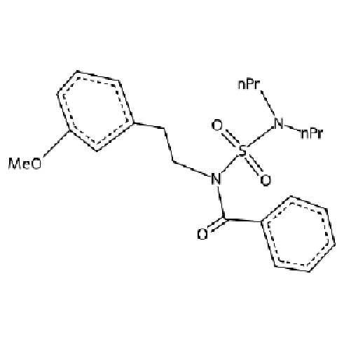 CCCN(CCC)S(=O)(=O)N(CCc1cccc(OC)c1)C(=O)c1ccccc1